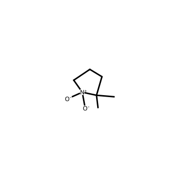 CC1(C)CCC[N+]1([O-])[O-]